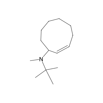 CN(C1C=CCCCCCC1)C(C)(C)C